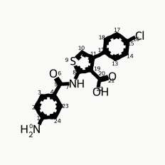 Nc1ccc(C(=O)Nc2scc(-c3ccc(Cl)cc3)c2C(=O)O)cc1